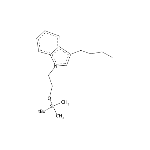 CC(C)(C)[Si](C)(C)OCCn1cc(CCCI)c2ccccc21